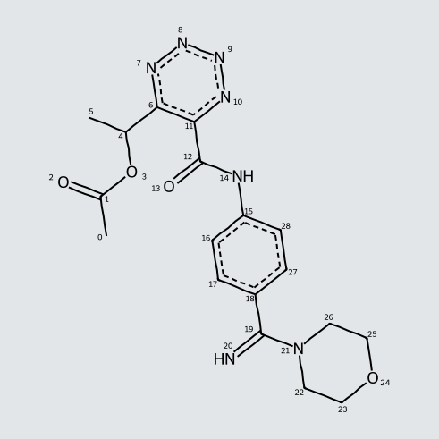 CC(=O)OC(C)c1nnnnc1C(=O)Nc1ccc(C(=N)N2CCOCC2)cc1